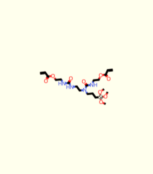 C=CC(=O)OCCNC(=O)NCCN(CCC[Si](OC)(OC)OC)C(=O)NCCOC(=O)C=C